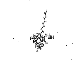 CCCCCCCCCCn1c(S(=O)(=O)C(F)(F)F)c(S(=O)(=O)C(F)(F)F)n(C)c1=N.Cl